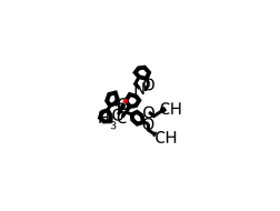 C#CCOc1ccc(C(C)(c2ccc(N3COc4ccccc4C3)cc2)P2(=O)Oc3ccccc3-c3ccccc32)cc1OCC#C